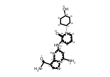 NC(=O)c1cnn2c(N)cc(Nc3cccn([C@H]4CC[C@H](O)CC4)c3=O)nc12